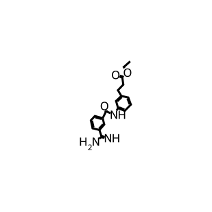 CCOC(=O)CCc1cccc(NC(=O)c2cccc(C(=N)N)c2)c1